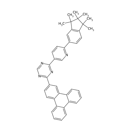 CC1(C)c2ccc(-c3ccc(-c4ncnc(-c5ccc6c7ccccc7c7ccccc7c6c5)n4)cn3)cc2C(C)(C)C1(C)C